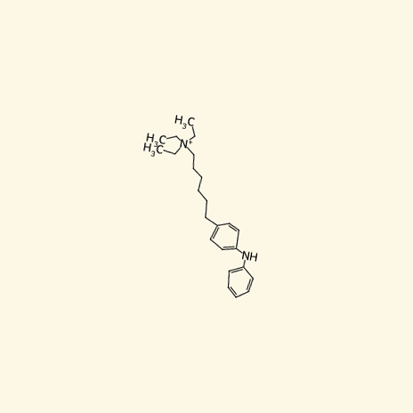 CC[N+](CC)(CC)CCCCCCc1ccc(Nc2ccccc2)cc1